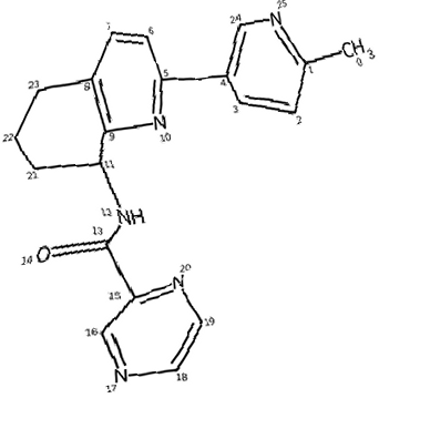 Cc1ccc(-c2ccc3c(n2)C(NC(=O)c2cnccn2)CCC3)cn1